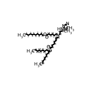 CCCCCCCCCCCOC(=O)CCCCCN(CCCCCCCC(=O)OC(CCCCCCCC)CCCCCCCC)CCCN/C(=N/C#N)N(C)C